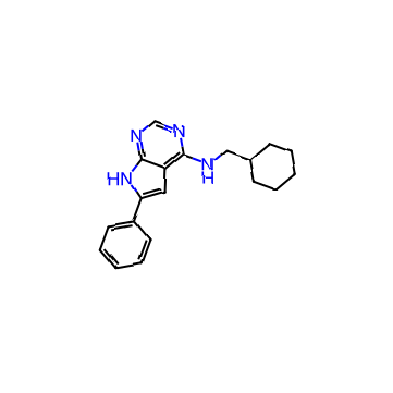 c1ccc(-c2cc3c(NCC4CCCCC4)ncnc3[nH]2)cc1